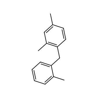 Cc1ccc(Cc2ccccc2C)c(C)c1